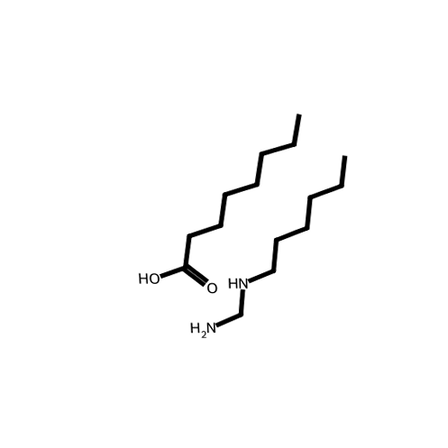 CCCCCCCC(=O)O.CCCCCCNCN